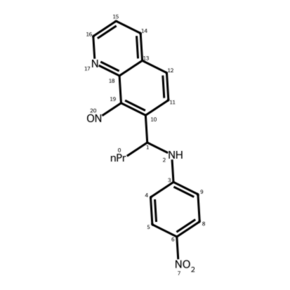 CCCC(Nc1ccc([N+](=O)[O-])cc1)c1ccc2cccnc2c1N=O